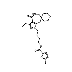 CCc1nn(CCCCOC(=O)c2cnc(C)o2)c2c1C(=O)NCC1(CCOCC1)C2